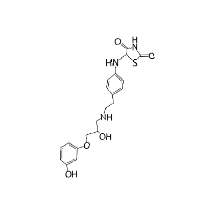 O=C1NC(=O)C(Nc2ccc(CCNCC(O)COc3cccc(O)c3)cc2)S1